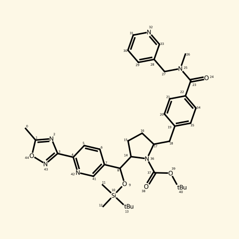 Cc1nc(-c2ccc(C(O[Si](C)(C)C(C)(C)C)C3CCC(Cc4ccc(C(=O)N(C)Cc5cccnc5)cc4)N3C(=O)OC(C)(C)C)cn2)no1